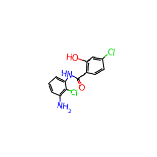 Nc1cccc(NC(=O)c2ccc(Cl)cc2O)c1Cl